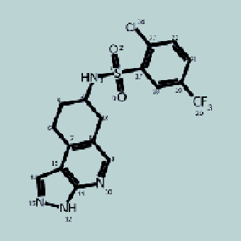 O=S(=O)(NC1CCc2c(cnc3[nH]ncc23)C1)c1cc(C(F)(F)F)ccc1Cl